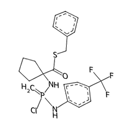 C=P(Cl)(Nc1ccc(C(F)(F)F)cc1)NC1(C(=O)SCc2ccccc2)CCCC1